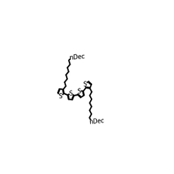 CCCCCCCCCCCCCCCCCCc1ccsc1-c1ccc(-c2ccc(-c3sccc3CCCCCCCCCCCCCCCCCC)s2)s1